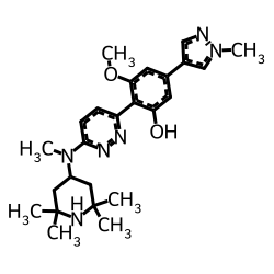 COc1cc(-c2cnn(C)c2)cc(O)c1-c1ccc(N(C)C2CC(C)(C)NC(C)(C)C2)nn1